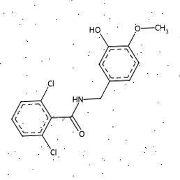 COc1ccc(CNC(=O)c2c(Cl)cccc2Cl)cc1O